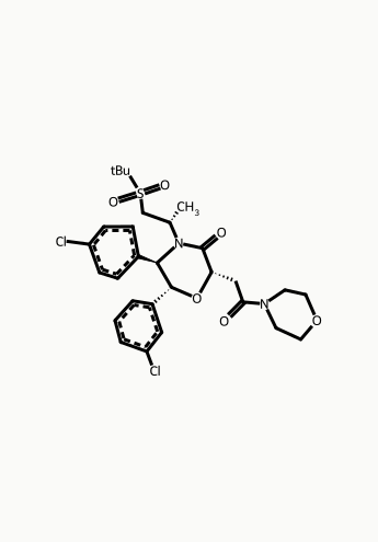 C[C@@H](CS(=O)(=O)C(C)(C)C)N1C(=O)[C@H](CC(=O)N2CCOCC2)O[C@H](c2cccc(Cl)c2)[C@H]1c1ccc(Cl)cc1